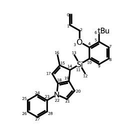 C=CCOc1c(C(C)(C)C)cccc1[Si](C)(C)C1C(C)=Cc2c1ccn2-c1ccccc1